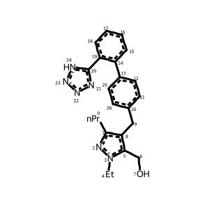 CCCc1nn(CC)c(CO)c1Cc1ccc(-c2ccccc2-c2nnn[nH]2)cc1